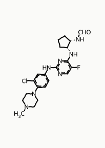 CN1CCN(c2ccc(Nc3ncc(F)c(N[C@@H]4CCC[C@@H]4NC=O)n3)cc2Cl)CC1